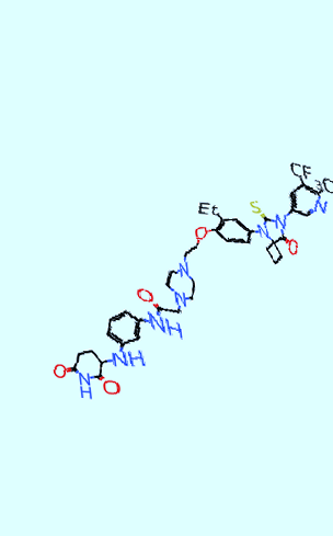 CCc1cc(N2C(=S)N(c3cnc(C#N)c(C(F)(F)F)c3)C(=O)C23CCC3)ccc1OCCN1CCN(CC(=O)Nc2cccc(NC3CCC(=O)NC3=O)c2)CC1